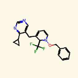 FC(F)(F)C1C(Cc2cncnc2C2CC2)=CC=CN1OCc1ccccc1